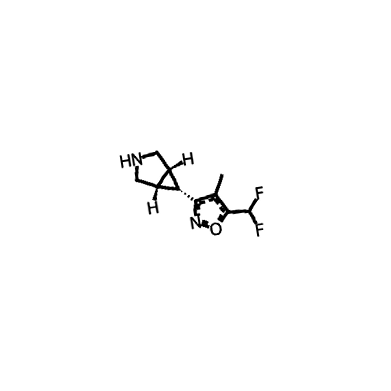 Cc1c([C@@H]2[C@@H]3CNC[C@@H]32)noc1C(F)F